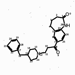 O=C1CCCc2cc(C(=O)CCN3CCC(Cc4ccccc4)CC3)ccc2N1